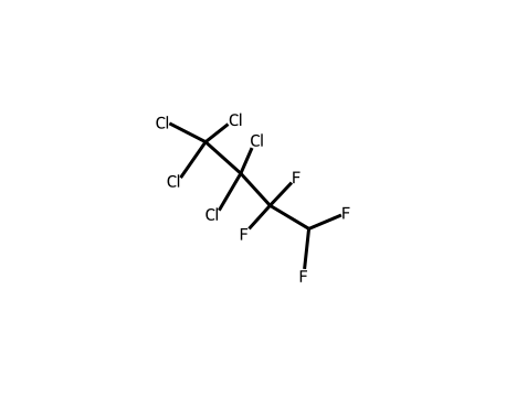 FC(F)C(F)(F)C(Cl)(Cl)C(Cl)(Cl)Cl